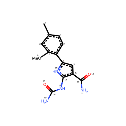 COc1cc(C)ccc1-c1cc(C(N)=O)c(NC(N)=O)[nH]1